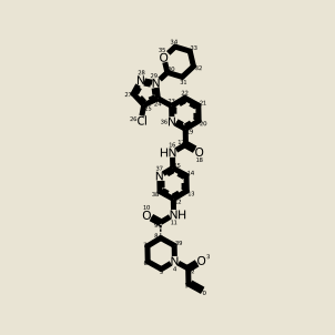 C=CC(=O)N1CCC[C@H](C(=O)Nc2ccc(NC(=O)c3cccc(-c4c(Cl)cnn4C4CCCCO4)n3)nc2)C1